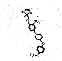 CC1(COc2ccc(N3CCC(Oc4ccc(OC(F)(F)F)cc4)CC3)cc2[N+](=O)[O-])NC=CN1